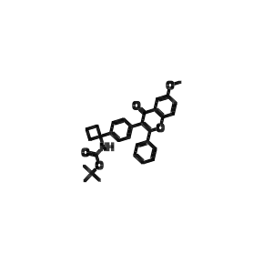 COc1ccc2oc(-c3ccccc3)c(-c3ccc(C4(NC(=O)OC(C)(C)C)CCC4)cc3)c(=O)c2c1